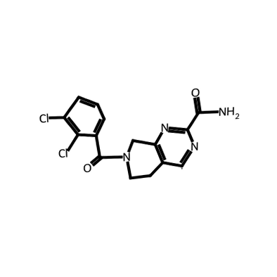 NC(=O)c1n[c]c2c(n1)CN(C(=O)c1cccc(Cl)c1Cl)CC2